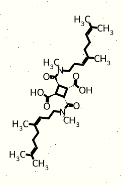 CC(C)=CCCC(C)=CCCN(C)C(=O)[C@H]1[C@H](C(=O)O)[C@H](C(=O)N(C)CCC=C(C)CCC=C(C)C)[C@H]1C(=O)O